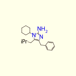 CC(C)Cc1c(Cc2ccccc2)nc(N)n1C1CCCCC1